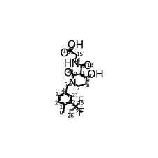 Cc1ccc(CN2CCC(O)=C(C(=O)NCC(=O)O)C2=O)cc1C(F)(F)F